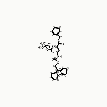 CC(C)(C)OC(=O)C[C@H](CCC(=O)OCc1ccccc1)NC(=O)OCC1c2ccccc2-c2ccccc21